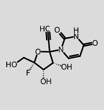 C#CC1(n2ccc(=O)[nH]c2=O)O[C@](F)(CO)[C@@H](O)[C@H]1O